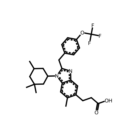 Cc1cc2c(cc1CCC(=O)O)nc(Cc1ccc(OC(F)(F)F)cc1)n2C1CC(C)CC(C)(C)C1